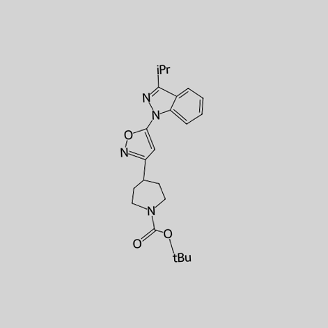 CC(C)c1nn(-c2cc(C3CCN(C(=O)OC(C)(C)C)CC3)no2)c2ccccc12